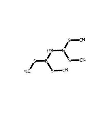 N#CSB(BB(SC#N)SC#N)SC#N